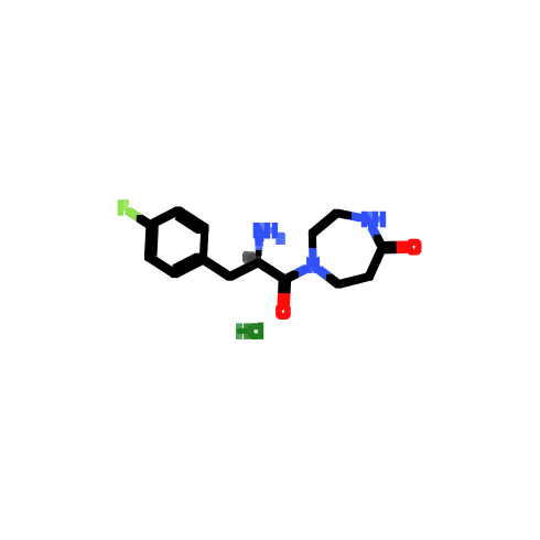 Cl.N[C@@H](Cc1ccc(F)cc1)C(=O)N1CCNC(=O)CC1